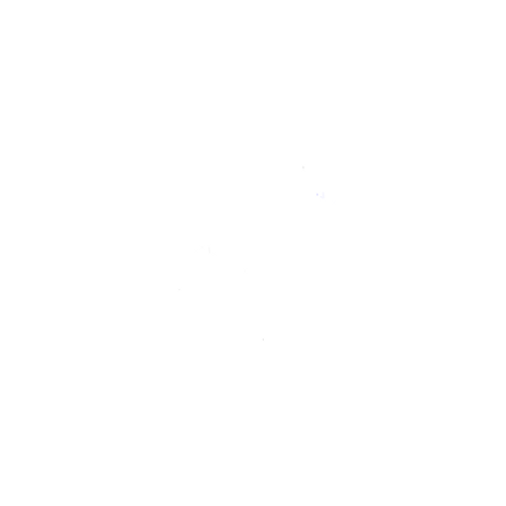 CC(CCCCC(CN)C(C)C)CC(C)(C)C